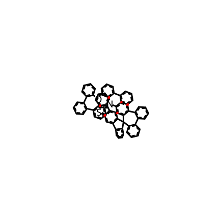 c1ccc(-c2ccccc2N(c2ccc3c(c2)C2(c4ccccc4-c4ccccc4-3)c3ccccc3-c3cc4sc5ccccc5c4cc32)c2cccc3c2Oc2ccccc2-c2ccccc2-3)cc1